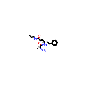 CCCNC(=O)/C=C/[C@H](CCc1ccccc1)NC(=O)[C@H](C)N